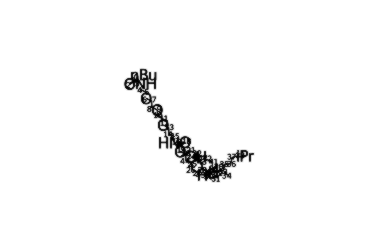 CCCCC(=O)NCCOCCOCCOCCCNC(=O)OC1CC[C@@]2(C)C(=CC[C@H]3[C@@H]4CC[C@H]([C@H](C)CCCC(C)C)[C@@]4(C)CC[C@@H]32)C1